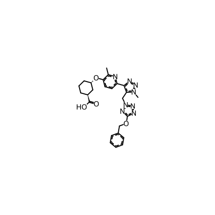 Cc1nc(-c2nnn(C)c2Cn2nnc(OCc3ccccc3)n2)ccc1O[C@H]1CCC[C@H](C(=O)O)C1